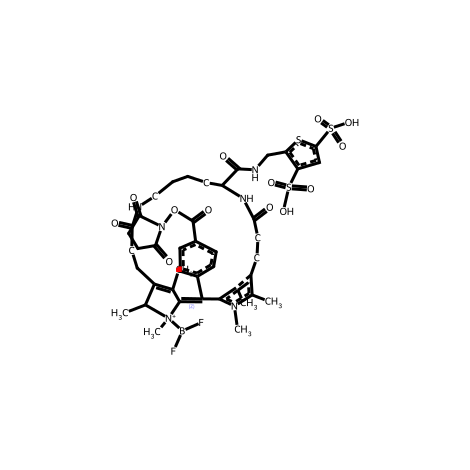 CC1=C2CCC(=O)NCCCCC(C(=O)NCc3sc(S(=O)(=O)O)cc3S(=O)(=O)O)NC(=O)CCc3c(C)c(n(C)c3C)/C(c3ccc(C(=O)ON4C(=O)CCC4=O)cc3)=C/1[N+](C)(B(F)F)C2C